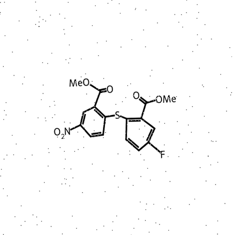 COC(=O)c1cc(F)ccc1Sc1ccc([N+](=O)[O-])cc1C(=O)OC